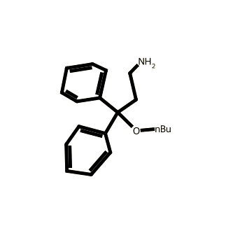 CCCCOC(CCN)(c1ccccc1)c1ccccc1